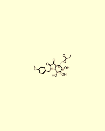 CCC(=O)OC[C@@H]1[C@@H](O)[C@H](O)[C@H](O)C2N(Cc3ccc(OC)cc3)C(=O)C(=O)N21